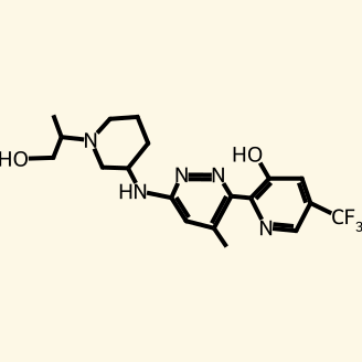 Cc1cc(NC2CCCN(C(C)CO)C2)nnc1-c1ncc(C(F)(F)F)cc1O